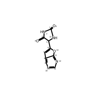 O=C1NC(=O)C(c2cc3cncnc3o2)N1